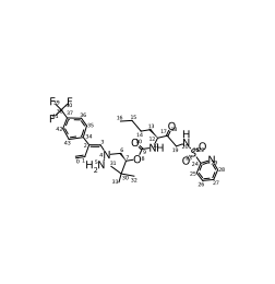 C=C/C(=C\N(N)C[C@@H](OC(=O)N[C@@H](CCCC)C(=O)CNS(=O)(=O)c1ccccn1)C(C)(C)C)c1ccc(C(F)(F)F)cc1